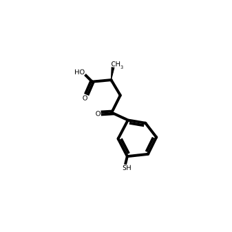 C[C@@H](CC(=O)c1cccc(S)c1)C(=O)O